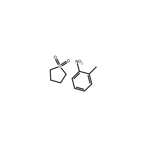 Cc1ccccc1[N+](=O)[O-].O=S1(=O)CCCC1